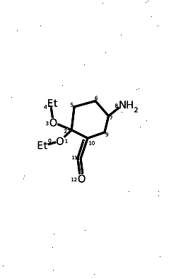 CCOC1(OCC)CCC(N)CC1=C=O